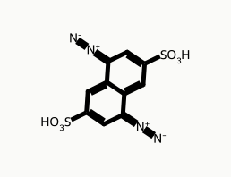 [N-]=[N+]=C1C=C(S(=O)(=O)O)C=C2C1=CC(S(=O)(=O)O)=CC2=[N+]=[N-]